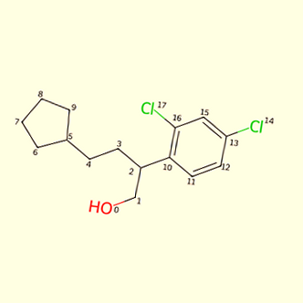 OCC(CCC1CCCC1)c1ccc(Cl)cc1Cl